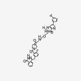 Nc1cc(-c2cccc(C3CC3)c2)cnc1C(=O)NCCOCCNCC(=O)N1CCN(C(=O)c2cc(Cc3n[nH]c(=O)c4ccccc34)ccc2F)CC1